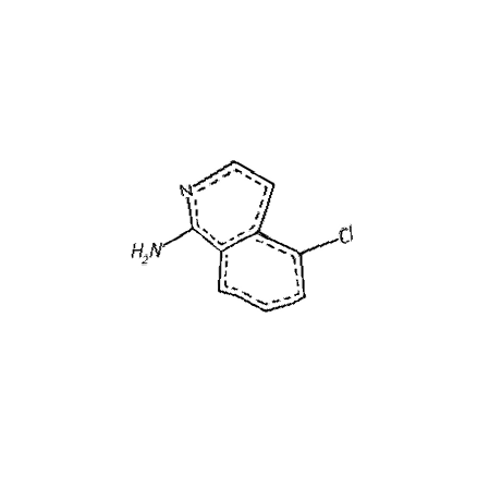 Nc1nccc2c(Cl)cccc12